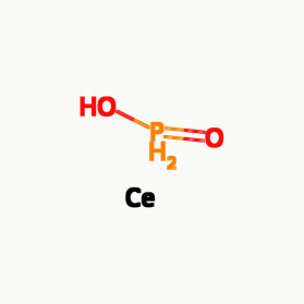 O=[PH2]O.[Ce]